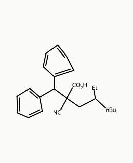 CCCCC(CC)CC(C#N)(C(=O)O)C(c1ccccc1)c1ccccc1